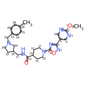 COc1ncc(-c2noc(N3CCC(C(=O)NCC4CCN(Cc5ccc(C)cc5)C4)CC3)n2)cn1